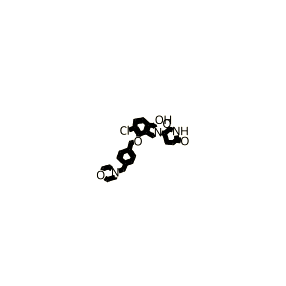 O=C1CCC(N2Cc3c(ccc(Cl)c3OCc3ccc(CN4CCOCC4)cc3)C2O)C(=O)N1